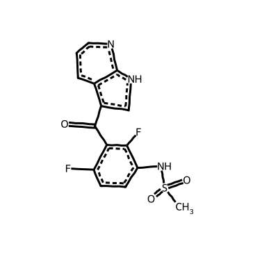 CS(=O)(=O)Nc1ccc(F)c(C(=O)c2c[nH]c3ncccc23)c1F